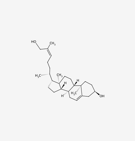 CC(=CCC[C@@H](C)[C@H]1CC[C@H]2[C@@H]3CC=C4C[C@H](O)CC[C@]4(C)[C@H]3CC[C@]12C)CO